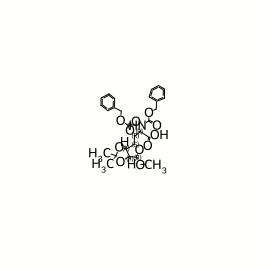 CO[C@@H]1O[C@@H]([C@H](OC(=O)OCc2ccccc2)[C@@H](NC(=O)OCc2ccccc2)C(=O)O)[C@H]2OC(C)(C)O[C@@H]12